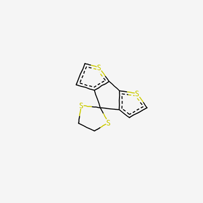 c1cc2c(s1)-c1sccc1C21SCCS1